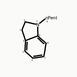 CCCCCN1CCc2ccccc21